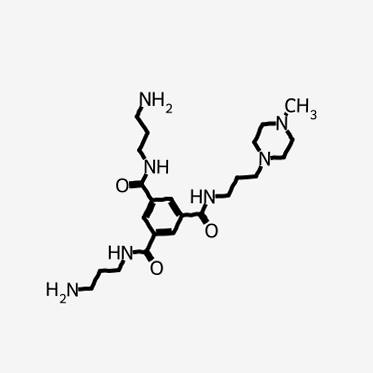 CN1CCN(CCCNC(=O)c2cc(C(=O)NCCCN)cc(C(=O)NCCCN)c2)CC1